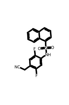 N#CCc1cc(F)c(NS(=O)(=O)c2cccc3ccccc23)cc1F